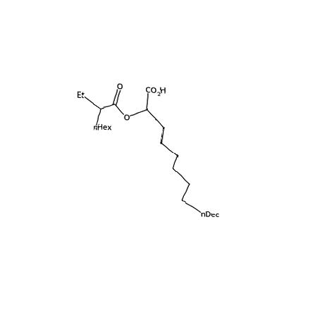 CCCCCCCCCCCCCCCCC(OC(=O)C(CC)CCCCCC)C(=O)O